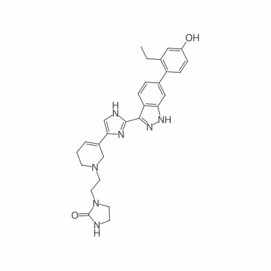 CCc1cc(O)ccc1-c1ccc2c(-c3nc(C4=CCCN(CCN5CCNC5=O)C4)c[nH]3)n[nH]c2c1